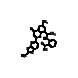 Cc1cc(C(C)Nc2ccccc2C(=O)O)c2oc(-c3ccc4nc(C)sc4n3)cc(=O)c2c1